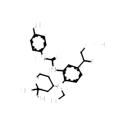 CCC(CC(=O)O)c1ccc(N(CC(C)C)[C@@H]2CCSC(O)(O)C2)c(NC(=O)Nc2ccc(C)cc2)c1